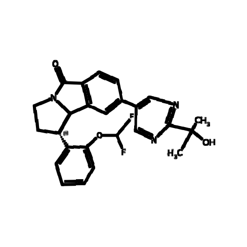 CC(C)(O)c1ncc(-c2ccc3c(c2)C2[C@H](c4ccccc4OC(F)F)CCN2C3=O)cn1